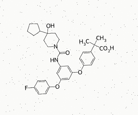 CC(C)(C(=O)O)c1ccc(Oc2cc(NC(=O)N3CCC(O)(C4CCCC4)CC3)cc(Oc3ccc(F)cc3)c2)cc1